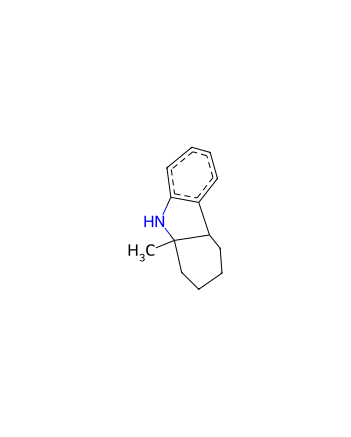 CC12CCCCC1c1ccccc1N2